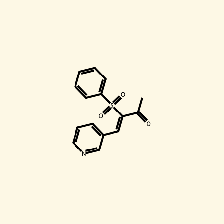 CC(=O)/C(=C/c1cccnc1)S(=O)(=O)c1ccccc1